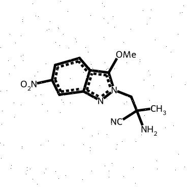 COc1c2ccc([N+](=O)[O-])cc2nn1CC(C)(N)C#N